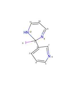 IC1(c2cccnc2)N=CC=CN1